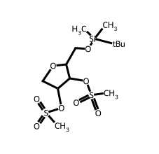 CC(C)(C)[Si](C)(C)OCC1OCC(OS(C)(=O)=O)C1OS(C)(=O)=O